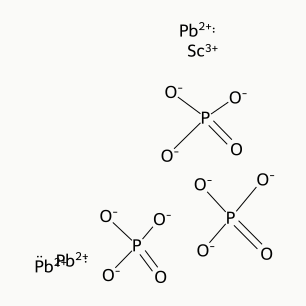 O=P([O-])([O-])[O-].O=P([O-])([O-])[O-].O=P([O-])([O-])[O-].[Pb+2].[Pb+2].[Pb+2].[Sc+3]